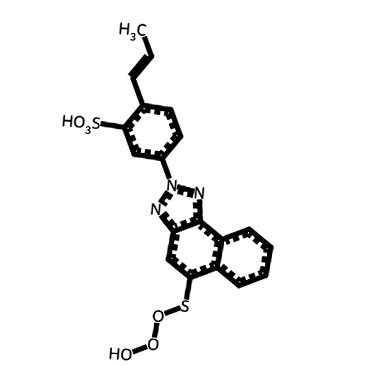 CC=Cc1ccc(-n2nc3cc(SOOO)c4ccccc4c3n2)cc1S(=O)(=O)O